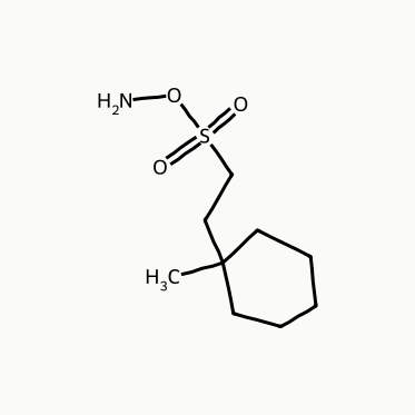 CC1(CCS(=O)(=O)ON)CCCCC1